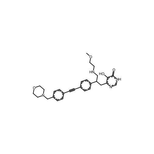 COCCNCC(Cc1nc[nH]c(=O)c1O)c1ccc(C#Cc2ccc(CN3CCOCC3)cc2)cc1